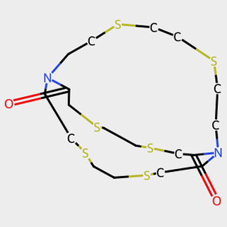 O=C1CSCCSCC(=O)N2CCSCCSCCN1CCSCCSCC2